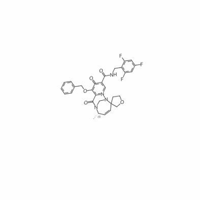 C[C@H]1C=CC2(CCOC2)N2CN1C(=O)c1c(OCc3ccccc3)c(=O)c(C(=O)NCc3c(F)cc(F)cc3F)cn12